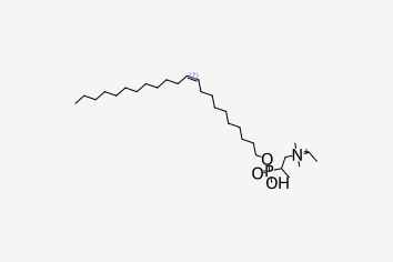 CCCCCCCCCCC/C=C\CCCCCCCCCOP(=O)(O)C(C)C[N+](C)(C)CC